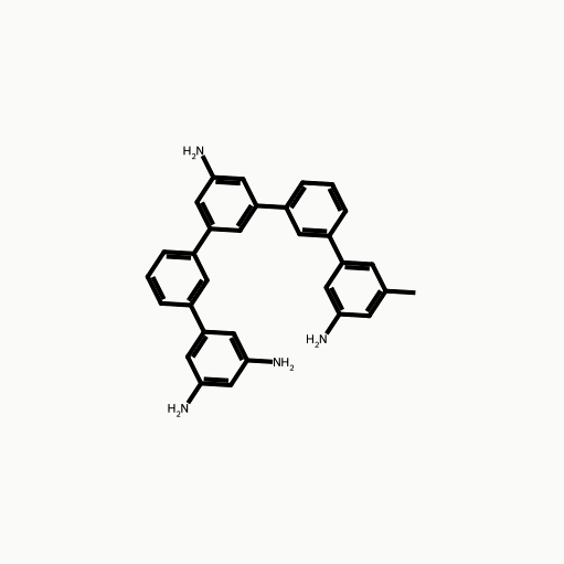 Cc1cc(N)cc(-c2cccc(-c3cc(N)cc(-c4cccc(-c5cc(N)cc(N)c5)c4)c3)c2)c1